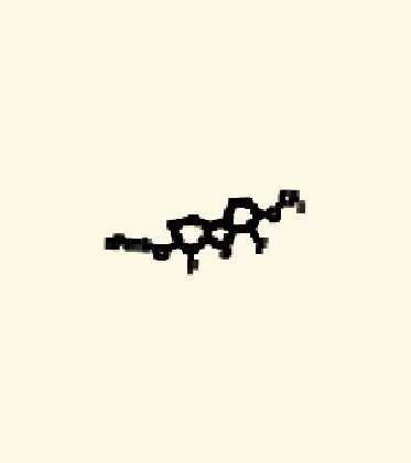 CCCCCOc1ccc2c(sc3c(F)c(OC(F)(F)F)ccc32)c1F